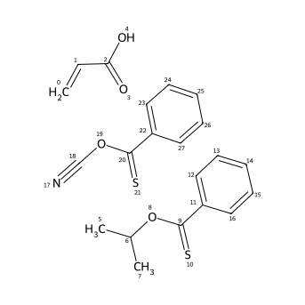 C=CC(=O)O.CC(C)OC(=S)c1ccccc1.N#COC(=S)c1ccccc1